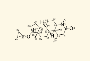 CN1C(=O)CC(F)[C@@]2(C)C1CC[C@@H]1[C@H]2CC[C@]2(C)C(OC3CC3)CC[C@@H]12